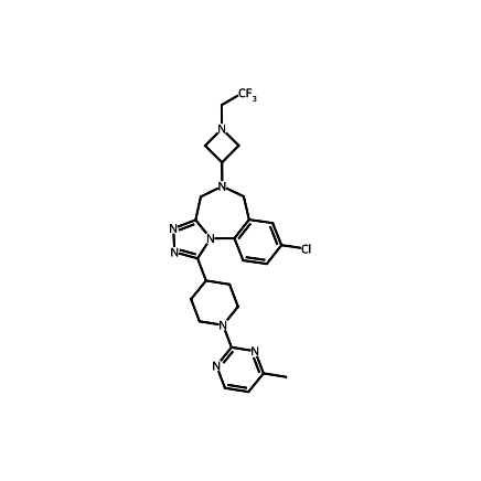 Cc1ccnc(N2CCC(c3nnc4n3-c3ccc(Cl)cc3CN(C3CN(CC(F)(F)F)C3)C4)CC2)n1